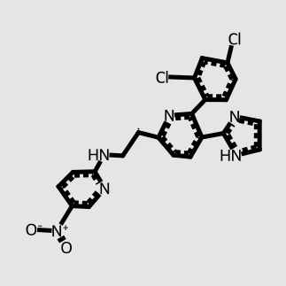 O=[N+]([O-])c1ccc(NC[CH]c2ccc(-c3ncc[nH]3)c(-c3ccc(Cl)cc3Cl)n2)nc1